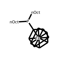 CCCCCCCCP(CCCCCCCC)[C]12[CH]3[CH]4[CH]5[CH]1[Fe]45321678[CH]2[CH]1[CH]6[CH]7[CH]28